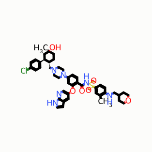 Cc1cc(S(=O)(=O)NC(=O)c2ccc(N3CCN(C[C@H]4CCC(C)(O)C[C@@H]4c4ccc(Cl)cc4)CC3)cc2Oc2cnc3[nH]ccc3c2)ccc1NCC1CCOCC1